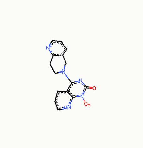 O=c1nc(N2CCc3ncccc3C2)c2cccnc2n1O